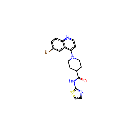 O=C(Nc1nccs1)C1CCN(c2ccnc3ccc(Br)cc23)CC1